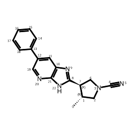 C[C@H]1CN(C#N)C[C@@H]1c1nc2cc(-c3ccccc3)cnc2[nH]1